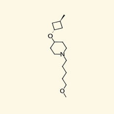 COCCCCCN1CCC(O[C@H]2C[C@H](C)C2)CC1